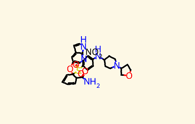 NC(=O)C1C=CC=CC1(Oc1cnc2[nH]ccc2c1)S(=O)(=O)c1ccc(NC2CCN(C3CCOC3)CC2)c([N+](=O)[O-])c1